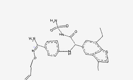 C=CCO/N=C(/N)c1ccc(NC(C(=O)NS(N)(=O)=O)c2cc(CC)c3occ(C)c3c2)cc1